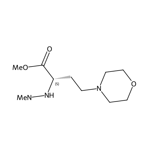 CNN[C@@H](CCN1CCOCC1)C(=O)OC